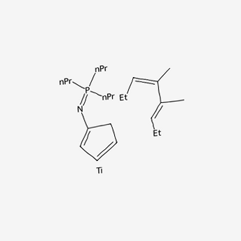 CCC=C(C)C(C)=CCC.CCCP(CCC)(CCC)=NC1=CC=CC1.[Ti]